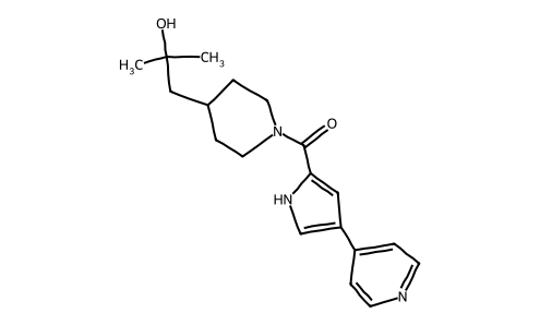 CC(C)(O)CC1CCN(C(=O)c2cc(-c3ccncc3)c[nH]2)CC1